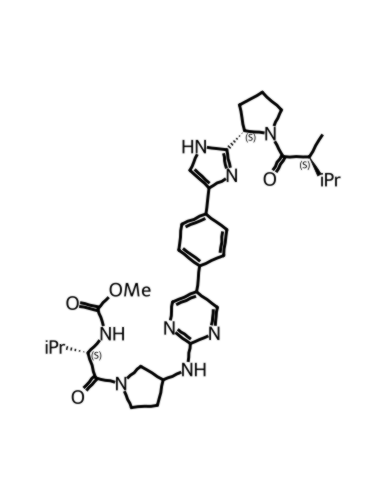 COC(=O)N[C@H](C(=O)N1CCC(Nc2ncc(-c3ccc(-c4c[nH]c([C@@H]5CCCN5C(=O)[C@@H](C)C(C)C)n4)cc3)cn2)C1)C(C)C